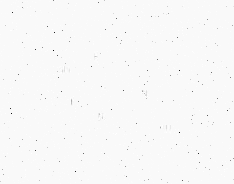 CCCC(F)(F)c1cnc(C)cn1